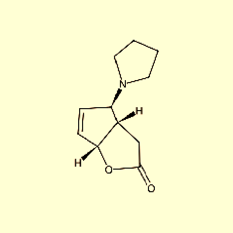 O=C1C[C@H]2[C@H](N3CCCC3)C=C[C@H]2O1